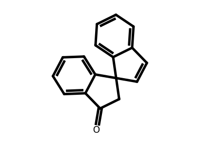 O=C1CC2(C=Cc3ccccc32)c2ccccc21